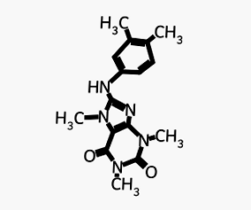 Cc1ccc(Nc2nc3c(c(=O)n(C)c(=O)n3C)n2C)cc1C